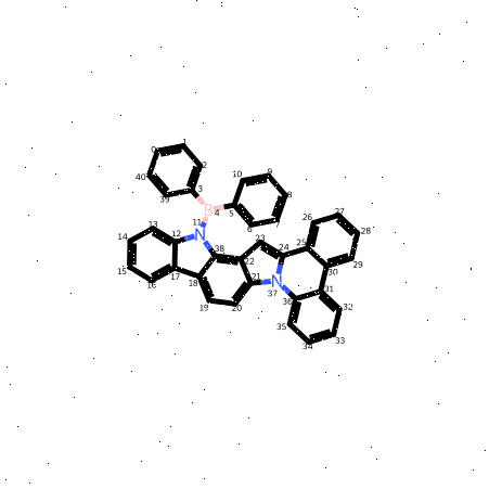 c1ccc(B(c2ccccc2)n2c3ccccc3c3ccc4c(cc5c6ccccc6c6ccccc6n54)c32)cc1